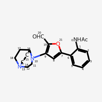 CC(=O)Nc1ccccc1-c1cc(N2CCN3CCC2CC3)c(C=O)o1